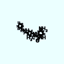 CC(Nc1ccc(CNCc2ccccc2)cc1)=C1C(=O)Nc2ccc(N)cc21